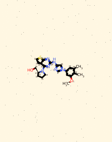 COc1cc(-n2cnc(Nc3nc(N4CCC[C@H]4CO)c4ccsc4n3)c2)cc(C)c1C